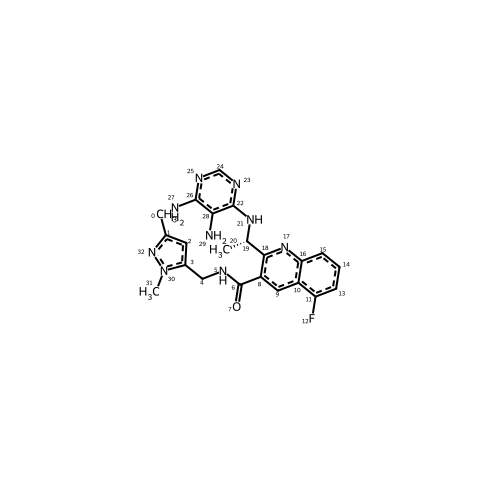 Cc1cc(CNC(=O)c2cc3c(F)cccc3nc2[C@H](C)Nc2ncnc(N)c2N)n(C)n1